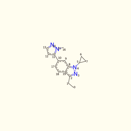 CCc1nn(C2CC2)c2cc(-c3ccnn3C)ccc12